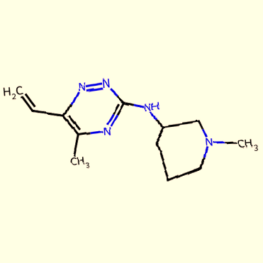 C=Cc1nnc(NC2CCCN(C)C2)nc1C